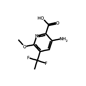 COc1nc(C(=O)O)c(N)cc1C(C)(F)F